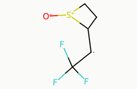 [O-][S+]1CCC1[CH]C(F)(F)F